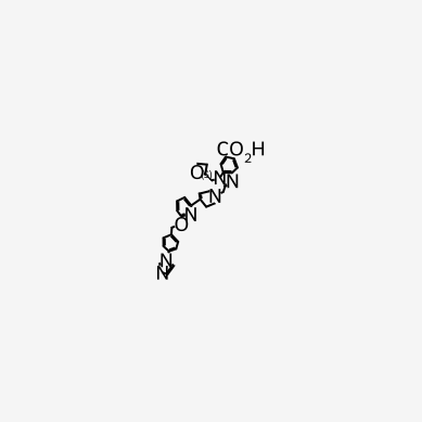 O=C(O)c1ccc2nc(CN3CC=C(c4cccc(OCc5ccc(-n6ccnc6)cc5)n4)CC3)n(C[C@@H]3CCO3)c2c1